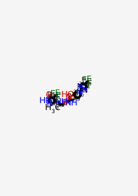 C[C@@H](CONC(=O)C[C@H]1CCN(c2ncc(C(F)(F)F)cn2)C[C@H]1O)Nc1cn[nH]c(=O)c1C(F)(F)F